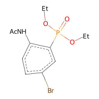 CCOP(=O)(OCC)c1cc(Br)ccc1NC(C)=O